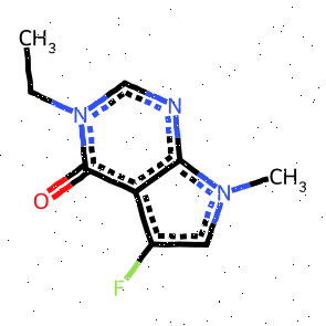 CCn1cnc2c(c(F)cn2C)c1=O